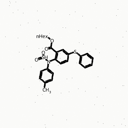 CCCCCCOC(=O)c1cc(Sc2ccccc2)ccc1N(c1ccc(C)cc1)[SH](=O)=O